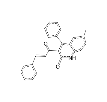 Cc1ccc2[nH]c(=O)c(C(=O)/C=C/c3ccccc3)c(-c3ccccc3)c2c1